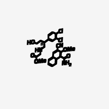 COC(=O)CNC[C@@H](CCO)c1ccc(Cl)c(Cl)c1.COc1c(C#N)cc2ccccc2c1C(N)=O